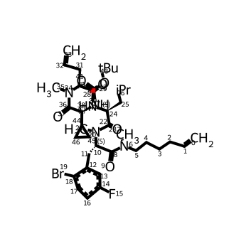 C=CCCCCN(C)C(=O)[C@H](Cc1cc(F)ccc1Br)N(C)C(=O)[C@H](CC(C)C)NC(=O)[C@H](CC=C)N(C)C(=O)[C@@H](NC(=O)OC(C)(C)C)C1CC1